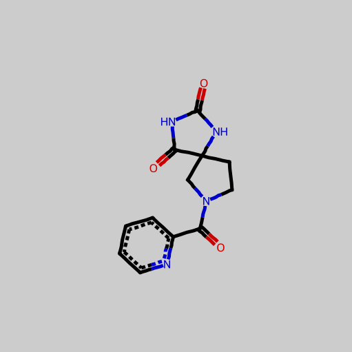 O=C1NC(=O)C2(CCN(C(=O)c3ccccn3)C2)N1